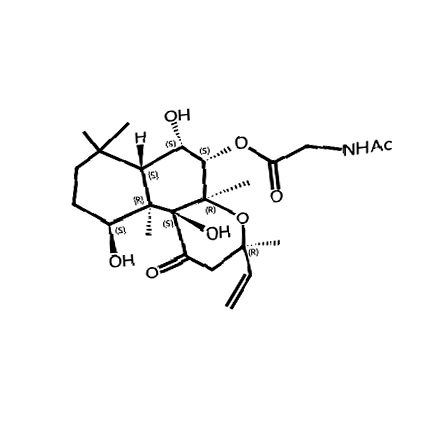 C=C[C@@]1(C)CC(=O)[C@]2(O)[C@@]3(C)[C@@H](O)CCC(C)(C)[C@@H]3[C@H](O)[C@H](OC(=O)CNC(C)=O)[C@@]2(C)O1